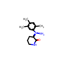 Cc1cc(C)c([N+](N)=C2CCCNC2=O)cc1C